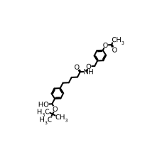 CC(=O)Oc1ccc(CONC(=O)CCCCc2ccc(C(O)OC(C)(C)C)cc2)cc1